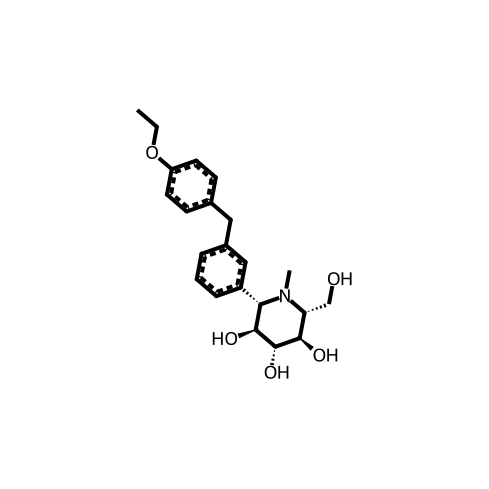 CCOc1ccc(Cc2cccc([C@H]3[C@H](O)[C@@H](O)[C@H](O)[C@@H](CO)N3C)c2)cc1